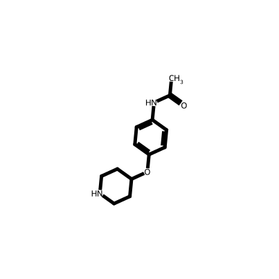 CC(=O)Nc1ccc(OC2CCNCC2)cc1